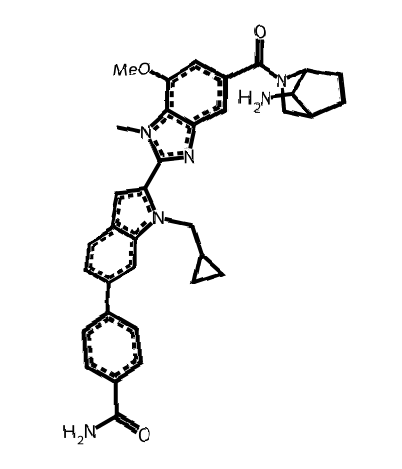 COc1cc(C(=O)N2CC3CCC2C3N)cc2nc(-c3cc4ccc(-c5ccc(C(N)=O)cc5)cc4n3CC3CC3)n(C)c12